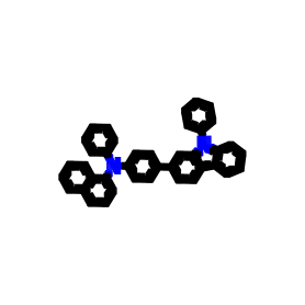 c1ccc(N(c2ccc(-c3ccc4c5ccccc5n(-c5ccccc5)c4c3)cc2)c2cccc3ccccc23)cc1